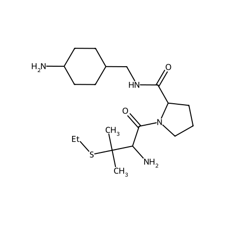 CCSC(C)(C)C(N)C(=O)N1CCCC1C(=O)NCC1CCC(N)CC1